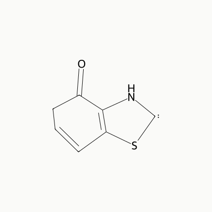 O=C1CC=CC2=C1N[C]S2